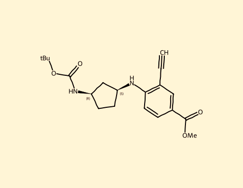 C#Cc1cc(C(=O)OC)ccc1N[C@H]1CC[C@@H](NC(=O)OC(C)(C)C)C1